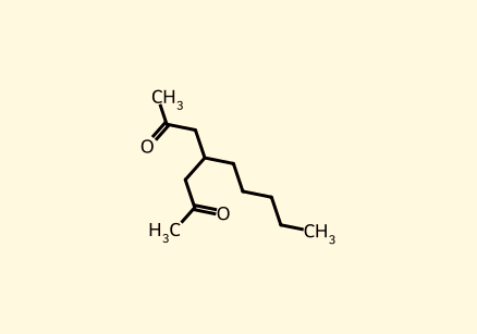 CCCCCC(CC(C)=O)CC(C)=O